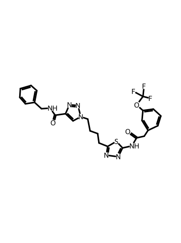 O=C(Cc1cccc(OC(F)(F)F)c1)Nc1nnc(CCCCn2cc(C(=O)NCc3ccccc3)nn2)s1